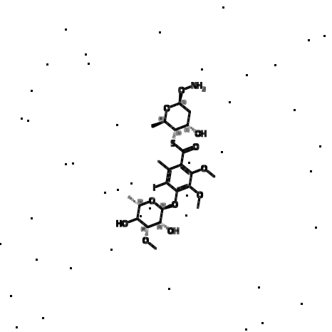 COc1c(O[C@@H]2O[C@@H](C)C(O)[C@@H](OC)[C@H]2O)c(I)c(C)c(C(=O)S[C@H]2[C@@H](O)C[C@H](ON)O[C@@H]2C)c1OC